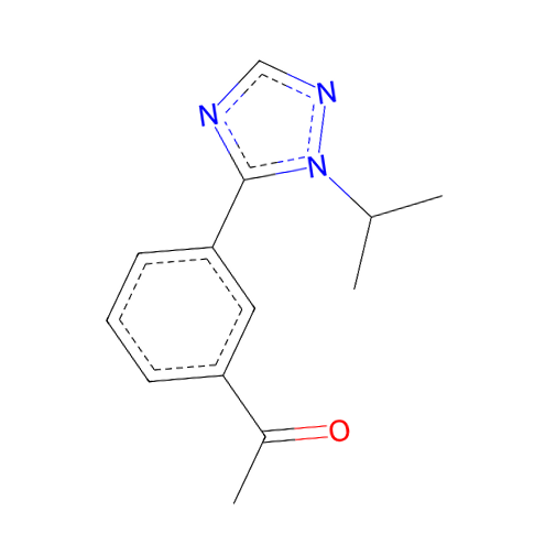 CC(=O)c1cccc(-c2ncnn2C(C)C)c1